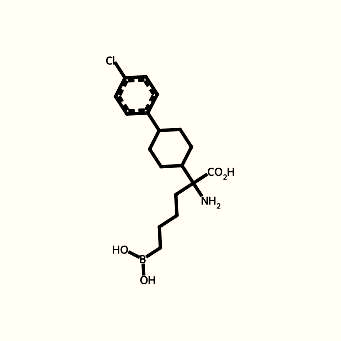 NC(CCCCB(O)O)(C(=O)O)C1CCC(c2ccc(Cl)cc2)CC1